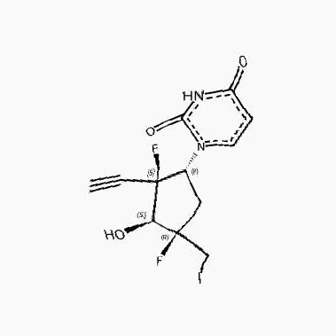 C#C[C@@]1(F)[C@H](O)[C@@](F)(CI)C[C@H]1n1ccc(=O)[nH]c1=O